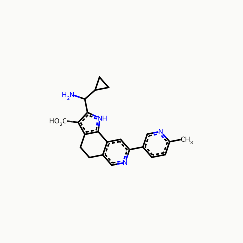 Cc1ccc(-c2cc3c(cn2)CCc2c-3[nH]c(C(N)C3CC3)c2C(=O)O)cn1